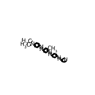 CCN(CC)c1ccc(N=Nc2ccc(N=Nc3ccc(N=Nc4cccnc4)cc3)c(C)c2)cc1